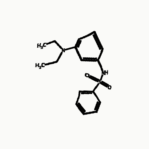 CCN(CC)c1cccc(NS(=O)(=O)c2ccccc2)c1